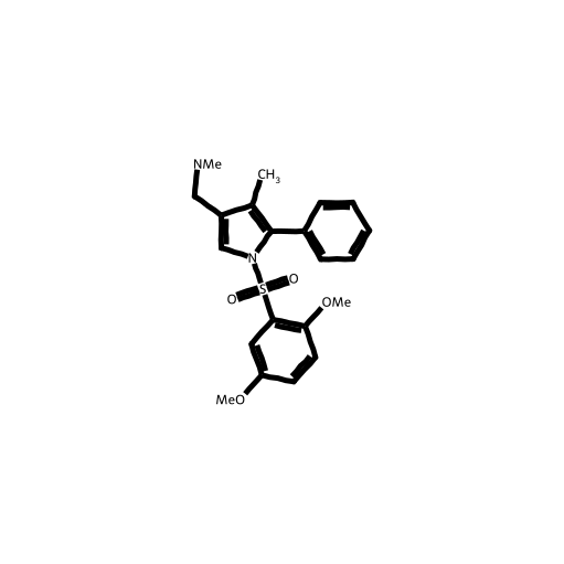 CNCc1cn(S(=O)(=O)c2cc(OC)ccc2OC)c(-c2ccccc2)c1C